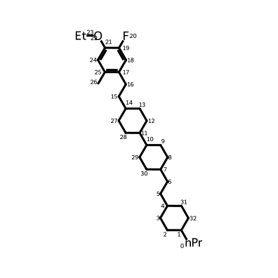 CCCC1CCC(CCC2CCC(C3CCC(CCc4cc(F)c(OCC)cc4C)CC3)CC2)CC1